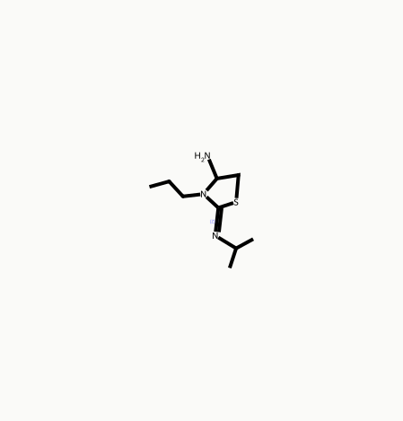 CCCN1/C(=N/C(C)C)SCC1N